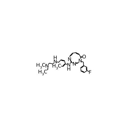 C/C=C(\C=C/CNCCN(C)CC)Nc1nccccc(=O)n(Cc2cccc(F)c2)cn1